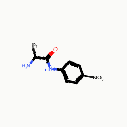 CC(C)C(N)C(=O)Nc1ccc([N+](=O)[O-])cc1